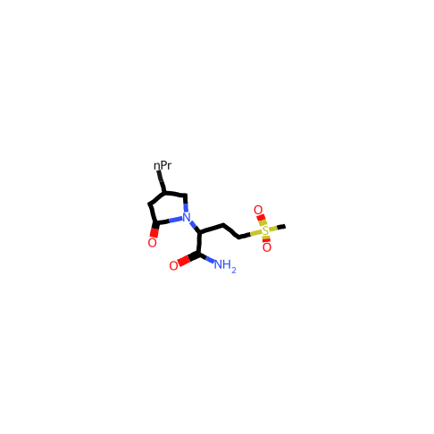 CCCC1CC(=O)N(C(CCS(C)(=O)=O)C(N)=O)C1